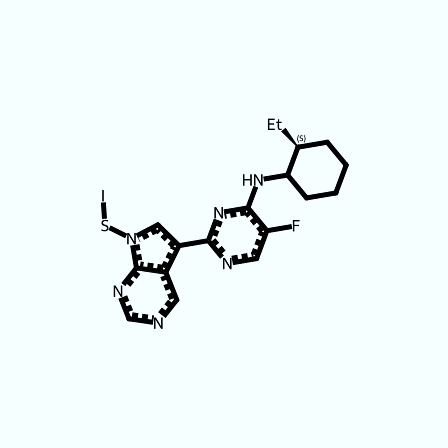 CC[C@H]1CCCCC1Nc1nc(-c2cn(SI)c3ncncc23)ncc1F